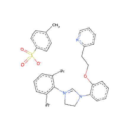 CC(C)c1cccc(C(C)C)c1[N+]1=CN(c2ccccc2OCCc2ccccn2)CC1.Cc1ccc(S(=O)(=O)[O-])cc1